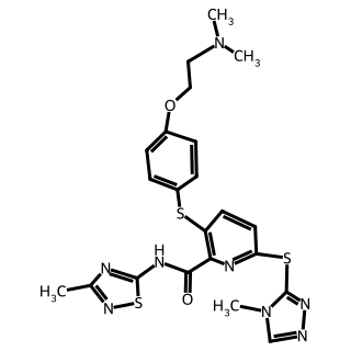 Cc1nsc(NC(=O)c2nc(Sc3nncn3C)ccc2Sc2ccc(OCCN(C)C)cc2)n1